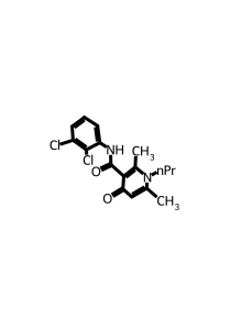 CCCn1c(C)cc(=O)c(C(=O)Nc2cccc(Cl)c2Cl)c1C